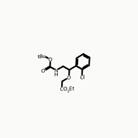 CCOC(=O)COC(CNC(=O)OC(C)(C)C)c1ccccc1Cl